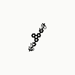 CC1(C)COC(c2ccc(-c3ccc4c5ccc(-c6ccc(C7=NC(C)(C)CO7)nc6)cc5c5ccccc5c4c3)cn2)=N1